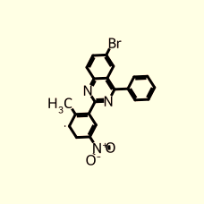 CC1=C(c2nc(-c3ccccc3)c3cc(Br)ccc3n2)C=C([N+](=O)[O-])C[CH]1